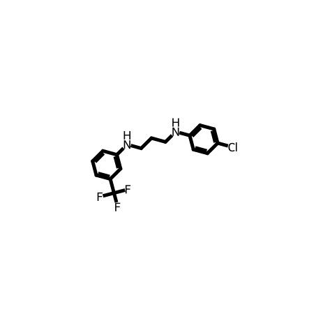 FC(F)(F)c1cccc(NCCCNc2ccc(Cl)cc2)c1